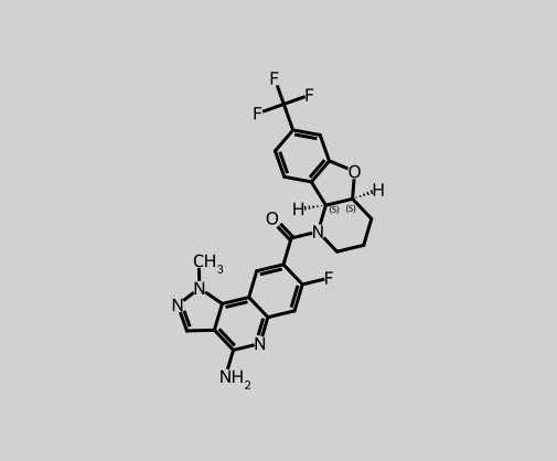 Cn1ncc2c(N)nc3cc(F)c(C(=O)N4CCC[C@@H]5Oc6cc(C(F)(F)F)ccc6[C@@H]54)cc3c21